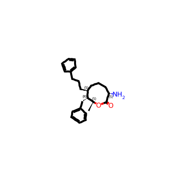 C[C@@H]1OC(=O)[C@@H](N)CCC[C@H](CCCc2ccccc2)[C@H]1Cc1ccccc1